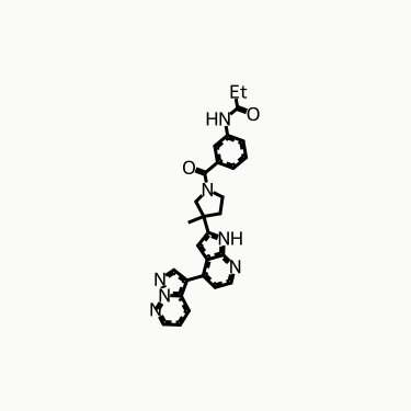 CCC(=O)Nc1cccc(C(=O)N2CCC(C)(c3cc4c(-c5cnn6ncccc56)ccnc4[nH]3)C2)c1